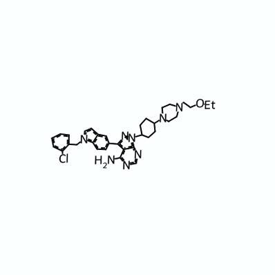 CCOCCN1CCN(C2CCC(n3nc(-c4ccc5c(ccn5Cc5ccccc5Cl)c4)c4c(N)ncnc43)CC2)CC1